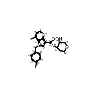 Cc1ccnc2c(C(=O)NC3CCOC[C@@H]3O)cn(Cc3ccc(F)cc3)c12